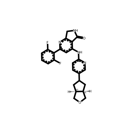 O=C1NCc2nc(-c3c(F)cccc3F)cc(Nc3ccc(C4C[C@H]5COC[C@H]5C4)cn3)c21